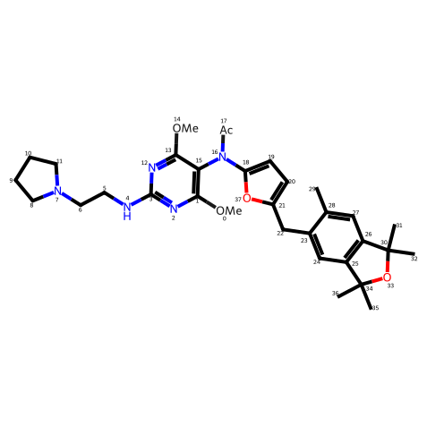 COc1nc(NCCN2CCCC2)nc(OC)c1N(C(C)=O)c1ccc(Cc2cc3c(cc2C)C(C)(C)OC3(C)C)o1